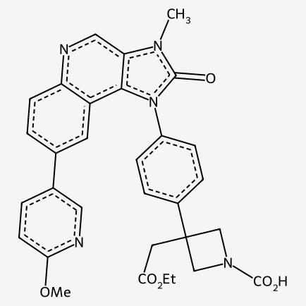 CCOC(=O)CC1(c2ccc(-n3c(=O)n(C)c4cnc5ccc(-c6ccc(OC)nc6)cc5c43)cc2)CN(C(=O)O)C1